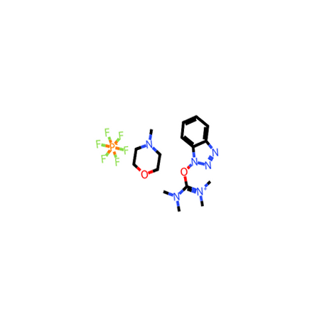 CN(C)C(On1nnc2ccccc21)=[N+](C)C.CN1CCOCC1.F[P-](F)(F)(F)(F)F